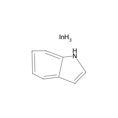 [InH3].c1ccc2[nH]ccc2c1